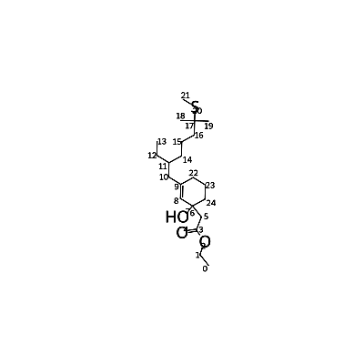 CCOC(=O)CC1(O)C=C(CC(CC)CCCC(C)(C)SC)CCC1